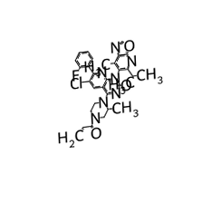 C=CC(=O)N1CCN(c2nc(=O)n(-c3c(C(C)C)nc4ocnc4c3C)c3nc(-c4ccccc4F)c(Cl)cc23)[C@@H](C)C1